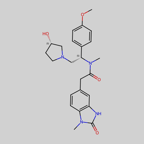 COc1ccc([C@@H](CN2CC[C@H](O)C2)N(C)C(=O)Cc2ccc3c(c2)[nH]c(=O)n3C)cc1